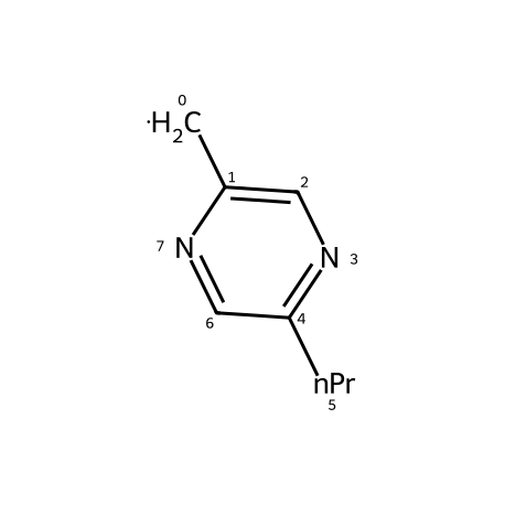 [CH2]c1cnc(CCC)cn1